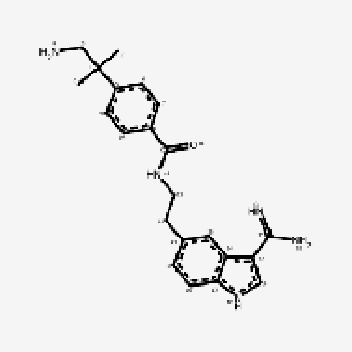 CC(C)(CN)c1ccc(C(=O)NCCc2ccc3[nH]cc(C(=N)N)c3c2)cc1